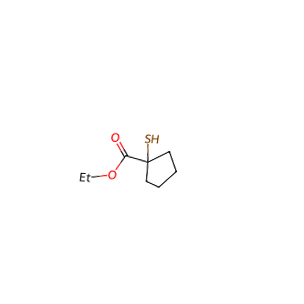 CCOC(=O)C1(S)CCCC1